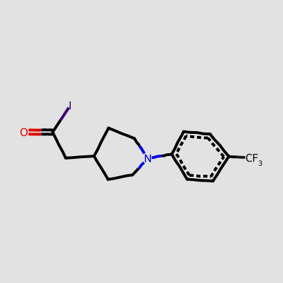 O=C(I)CC1CCN(c2ccc(C(F)(F)F)cc2)CC1